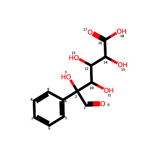 O=CC(O)(c1ccccc1)C(O)C(O)C(O)C(=O)O